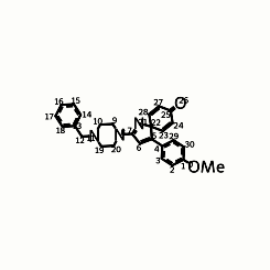 COc1ccc(C2=CC(N3CCN(Cc4ccccc4)CC3)=NC23C=CC(=O)C=C3)cc1